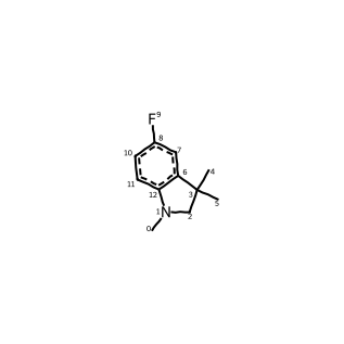 CN1CC(C)(C)c2cc(F)ccc21